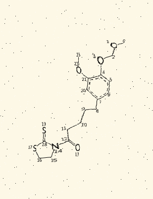 COCOc1ccc(CCCCC(=O)N2CCSC2=S)cc1OC